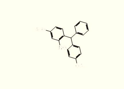 CC(=O)Oc1ccc(C(c2ccccc2)c2ccc(OC(C)=O)cc2[N+](=O)[O-])cc1